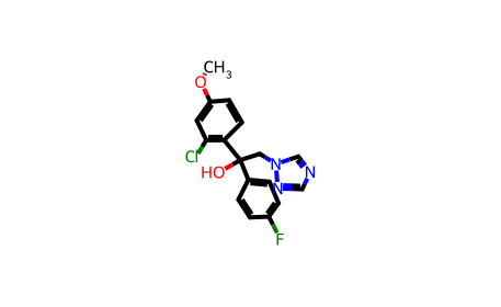 COc1ccc(C(O)(Cn2cncn2)c2ccc(F)cc2)c(Cl)c1